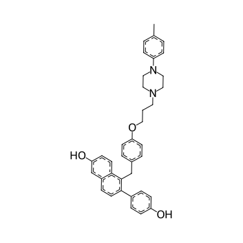 Cc1ccc(N2CCN(CCCOc3ccc(Cc4c(-c5ccc(O)cc5)ccc5cc(O)ccc45)cc3)CC2)cc1